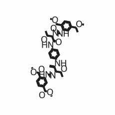 C=C(Nc1ccc(NC(=O)/C(=N\Nc2cc(C(C)OC)ccc2C(=O)OC)C(C)=O)cc1)/C(=N\Nc1cc(C(=O)OC)ccc1C(=O)OC)C(C)=O